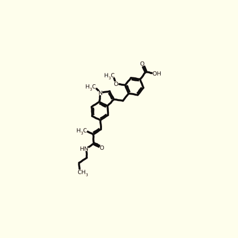 CCCNC(=O)/C(C)=C/c1ccc2c(c1)c(Cc1ccc(C(=O)O)cc1OC)cn2C